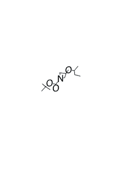 CCC(C)OC1CN(C(=O)OC(C)(C)C)C1